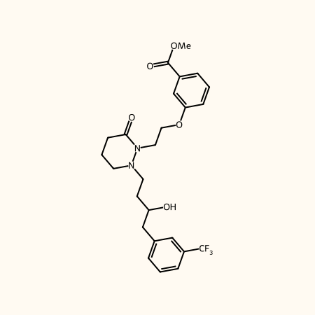 COC(=O)c1cccc(OCCN2C(=O)CCCN2CCC(O)Cc2cccc(C(F)(F)F)c2)c1